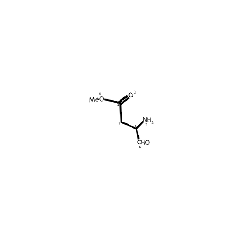 COC(=O)CC(N)C=O